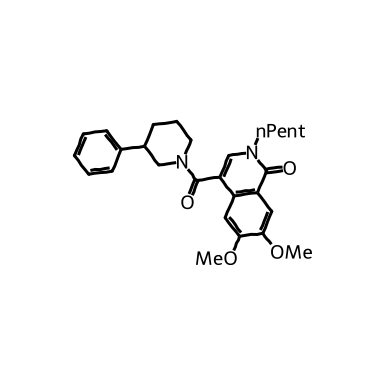 CCCCCn1cc(C(=O)N2CCCC(c3ccccc3)C2)c2cc(OC)c(OC)cc2c1=O